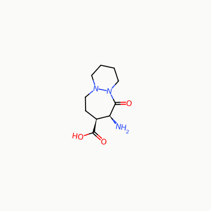 N[C@@H]1C(=O)N2CCCCN2CC[C@@H]1C(=O)O